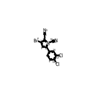 N#Cc1c(Br)cc(-c2ccc(Cl)c(Cl)c2)n1C#N